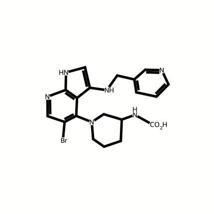 O=C(O)NC1CCCN(c2c(Br)cnc3[nH]cc(NCc4cccnc4)c23)C1